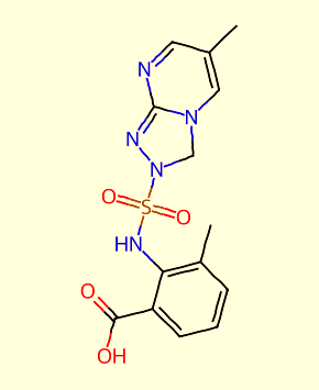 CC1=CN2CN(S(=O)(=O)Nc3c(C)cccc3C(=O)O)N=C2N=C1